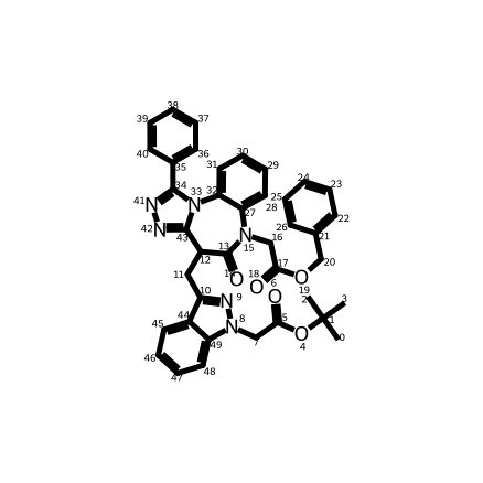 CC(C)(C)OC(=O)Cn1nc(CC2C(=O)N(CC(=O)OCc3ccccc3)c3ccccc3-n3c(-c4ccccc4)nnc32)c2ccccc21